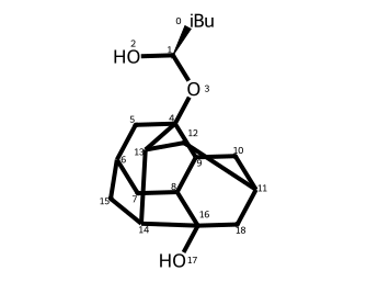 CCC(C)[C@H](O)OC12CC3CC4C1CC1CC2C(C3)C4(O)C1